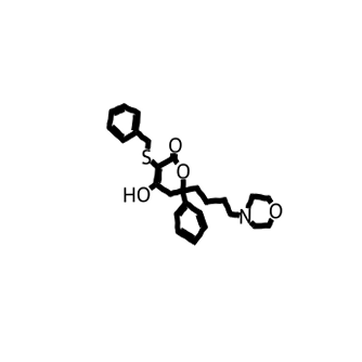 O=C1OC(CCCCN2CCOCC2)(c2ccccc2)CC(O)=C1SCc1ccccc1